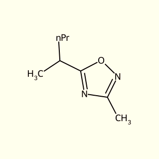 CCCC(C)c1nc(C)no1